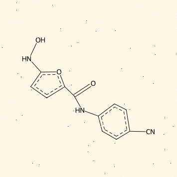 N#Cc1ccc(NC(=O)c2ccc(NO)o2)cc1